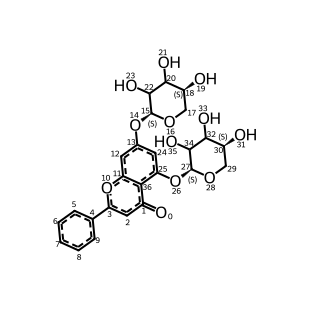 O=c1cc(-c2ccccc2)oc2cc(O[C@@H]3OC[C@H](O)C(O)C3O)cc(O[C@@H]3OC[C@H](O)C(O)C3O)c12